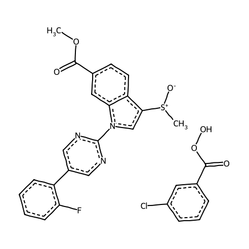 COC(=O)c1ccc2c([S+](C)[O-])cn(-c3ncc(-c4ccccc4F)cn3)c2c1.O=C(OO)c1cccc(Cl)c1